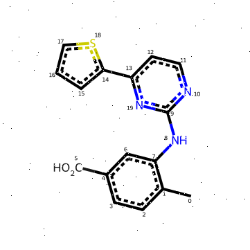 Cc1ccc(C(=O)O)cc1Nc1nccc(-c2cccs2)n1